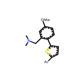 COc1ccc(-c2ccc(C(C)=O)s2)c(CN(C)C)c1